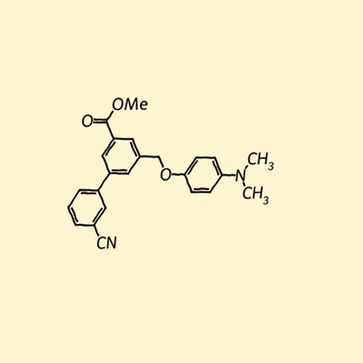 COC(=O)c1cc(COc2ccc(N(C)C)cc2)cc(-c2cccc(C#N)c2)c1